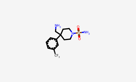 NCC1(c2cccc(C(F)(F)F)c2)CCN(S(N)(=O)=O)CC1